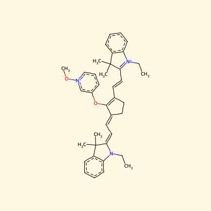 CCN1/C(=C/C=C2\CCC(/C=C/C3=[N+](CC)c4ccccc4C3(C)C)=C2Oc2ccc[n+](OC)c2)C(C)(C)c2ccccc21